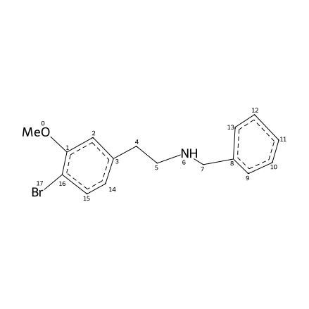 COc1cc(CCNCc2ccccc2)ccc1Br